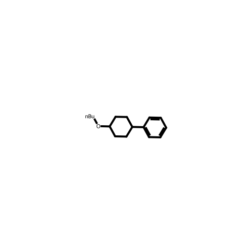 CCCCOC1CCC(c2ccccc2)CC1